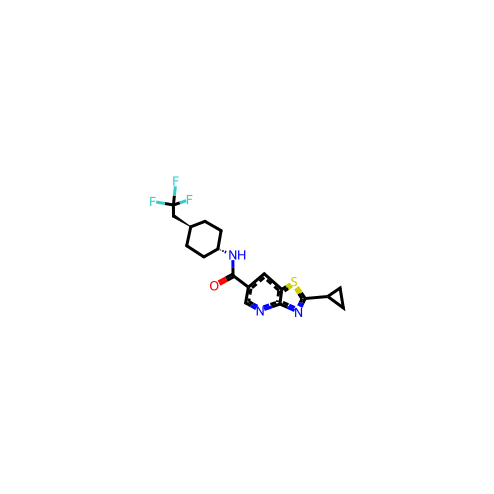 O=C(N[C@H]1CC[C@H](CC(F)(F)F)CC1)c1cnc2nc(C3CC3)sc2c1